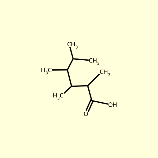 CC(C)C(C)C(C)C(C)C(=O)O